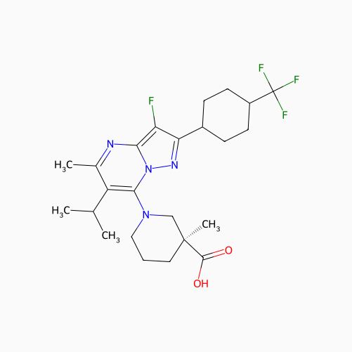 Cc1nc2c(F)c(C3CCC(C(F)(F)F)CC3)nn2c(N2CCC[C@](C)(C(=O)O)C2)c1C(C)C